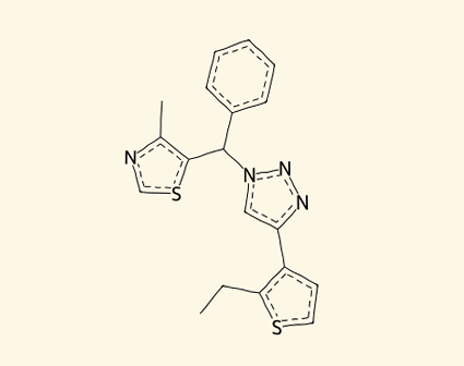 CCc1sccc1-c1cn(C(c2ccccc2)c2scnc2C)nn1